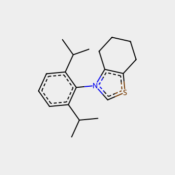 CC(C)c1cccc(C(C)C)c1-[n+]1csc2c1CCCC2